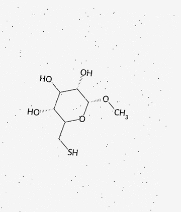 CO[C@@H]1OC(CS)[C@H](O)C(O)[C@@H]1O